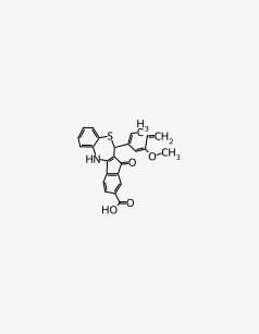 C=C/C(=C\C(=C/C)C1Sc2ccccc2NC2=C1C(=O)c1cc(C(=O)O)ccc12)OC